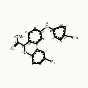 COC(=O)C(Oc1ccc(F)cc1)c1ccc(Oc2ccc(Cl)cc2)cc1